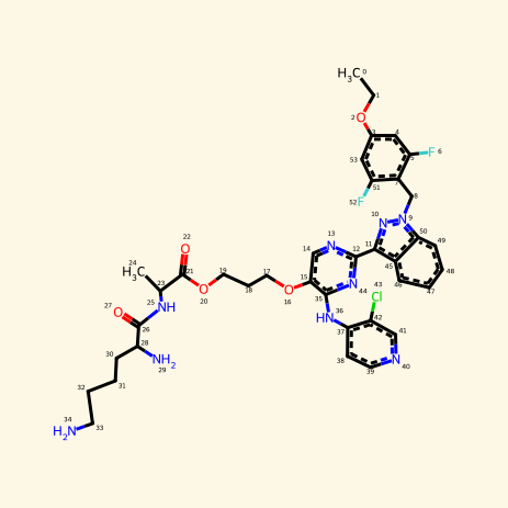 CCOc1cc(F)c(Cn2nc(-c3ncc(OCCCOC(=O)C(C)NC(=O)C(N)CCCCN)c(Nc4ccncc4Cl)n3)c3ccccc32)c(F)c1